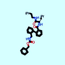 CC(C)CCNC(=O)[C@H](CC(C)C)NC(=O)c1ccccc1-c1ccccc1CNC(=O)OCc1ccccc1